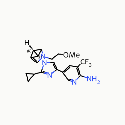 COCCN1C=C2[C@@H]3C1[C@@]23n1cc(-c2cnc(N)c(C(F)(F)F)c2)nc1C1CC1